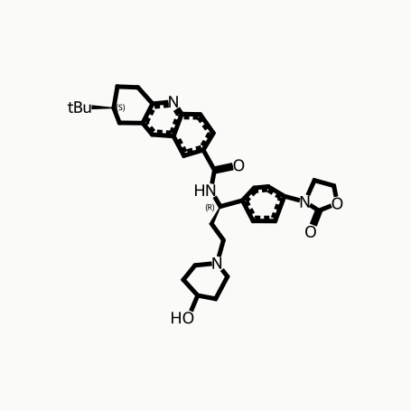 CC(C)(C)[C@H]1CCc2nc3ccc(C(=O)N[C@H](CCN4CCC(O)CC4)c4ccc(N5CCOC5=O)cc4)cc3cc2C1